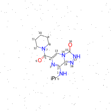 CC(C)Nc1nc(C(=O)N2CCCCC2)cn2c(=O)[nH]nc12